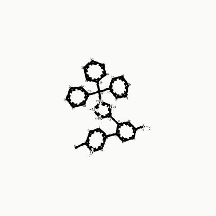 Cc1ccc(-c2ccc(N)cc2-c2nnn(C(c3ccccc3)(c3ccccc3)c3ccccc3)n2)cn1